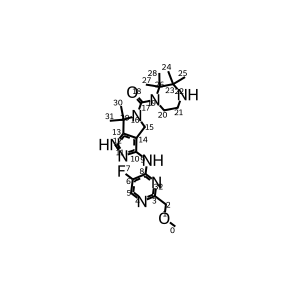 COCc1ncc(F)c(Nc2n[nH]c3c2CN(C(=O)N2CCNC(C)(C)C2(C)C)C3(C)C)n1